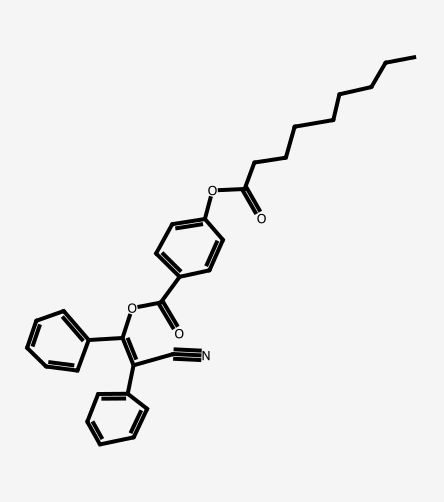 CCCCCCCCC(=O)Oc1ccc(C(=O)OC(=C(C#N)c2ccccc2)c2ccccc2)cc1